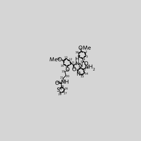 COc1ccc(C(=O)N(NC(=O)c2ccc(OC)cc2OCCCNC(=O)c2cccs2)c2cnccc2N)cc1